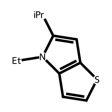 CCn1c(C(C)C)cc2sccc21